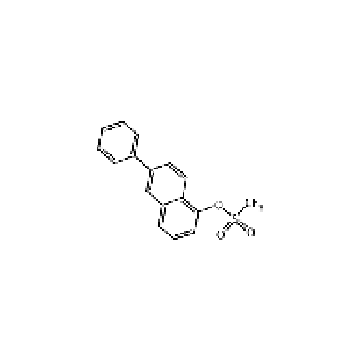 O=S(=O)(Oc1cccc2cc(-c3ccccc3)ccc12)C(F)(F)F